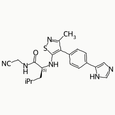 Cc1nsc(N[C@@H](CC(C)C)C(=O)NCC#N)c1-c1ccc(-c2cnc[nH]2)cc1